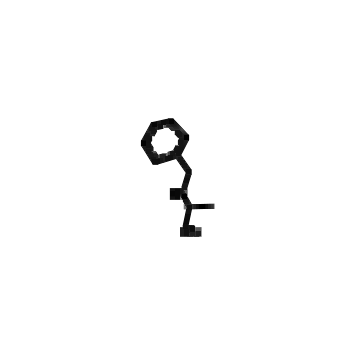 CCCC[C](C)NCc1ccccc1